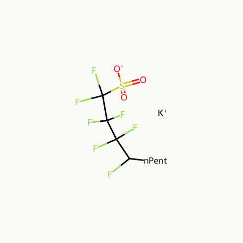 CCCCCC(F)C(F)(F)C(F)(F)C(F)(F)S(=O)(=O)[O-].[K+]